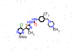 CNc1ncc(Cl)c(-c2sc(NC(=O)Nc3ccc(CN4CCN(C)CC4)c(C(F)(F)F)c3)nc2C)n1